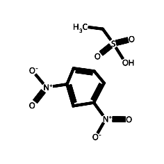 CCS(=O)(=O)O.O=[N+]([O-])c1cccc([N+](=O)[O-])c1